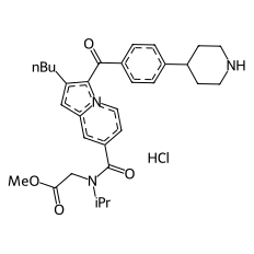 CCCCc1cc2cc(C(=O)N(CC(=O)OC)C(C)C)ccn2c1C(=O)c1ccc(C2CCNCC2)cc1.Cl